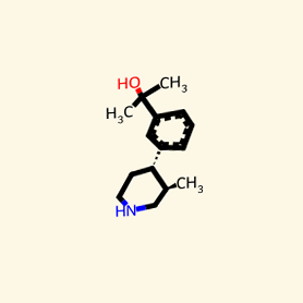 C[C@H]1CNCC[C@@H]1c1cccc(C(C)(C)O)c1